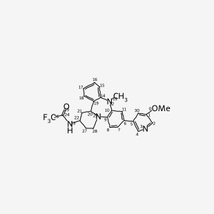 COc1cncc(-c2ccc3c(c2)N(C)c2ccccc2C2CC(NC(=O)C(F)(F)F)CCN32)c1